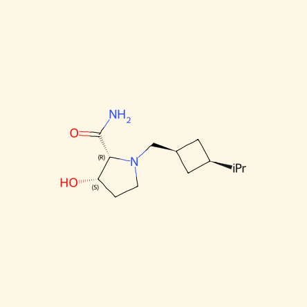 CC(C)[C@H]1C[C@@H](CN2CC[C@H](O)[C@@H]2C(N)=O)C1